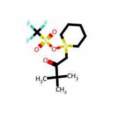 CC(C)(C)C(=O)CS1(OS(=O)(=O)C(F)(F)F)CCCCC1